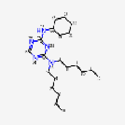 CCCCCCN(CCCCCC)c1ncnc(NC2CCCCC2)n1